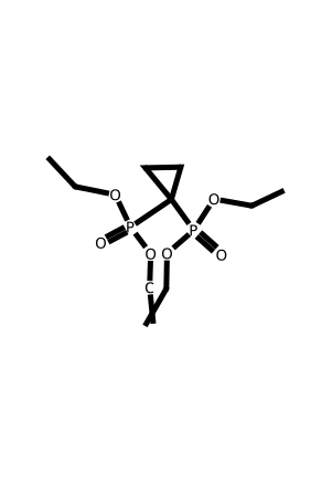 CCOP(=O)(OCC)C1(P(=O)(OCC)OCC)CC1